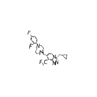 Fc1ccc(N2CCN(Cc3ccn4c(CC5CC5)nnc4c3C(F)(F)F)CC2)c(F)c1